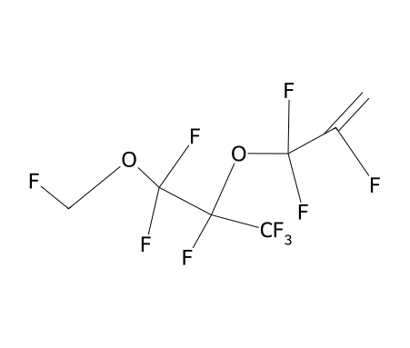 C=C(F)C(F)(F)OC(F)(C(F)(F)F)C(F)(F)OCF